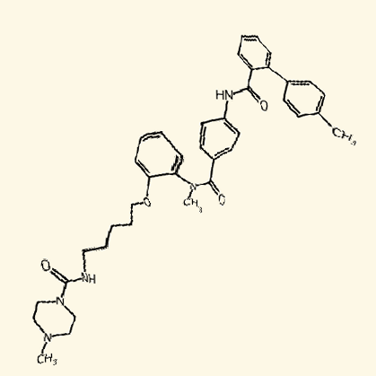 Cc1ccc(-c2ccccc2C(=O)Nc2ccc(C(=O)N(C)c3ccccc3OCCCCCNC(=O)N3CCN(C)CC3)cc2)cc1